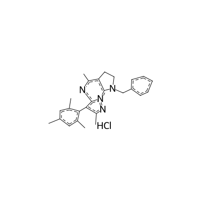 Cc1cc(C)c(-c2c(C)nn3c4c(c(C)nc23)CCN4Cc2ccccc2)c(C)c1.Cl